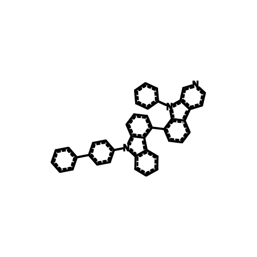 c1ccc(-c2ccc(-n3c4ccccc4c4c(-c5cccc6c7ccncc7n(-c7ccccc7)c56)cccc43)cc2)cc1